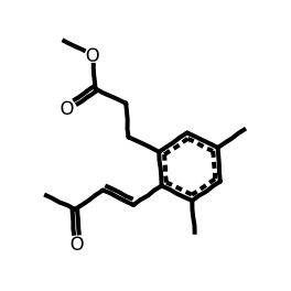 COC(=O)CCc1cc(C)cc(C)c1C=CC(C)=O